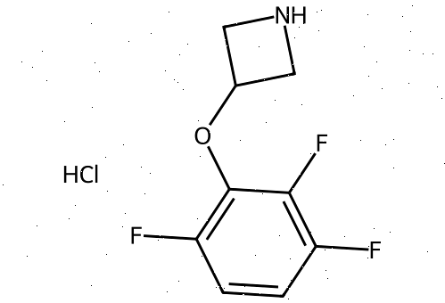 Cl.Fc1ccc(F)c(OC2CNC2)c1F